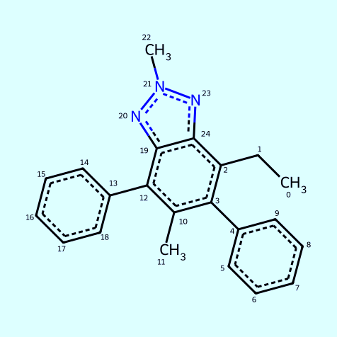 CCc1c(-c2ccccc2)c(C)c(-c2ccccc2)c2nn(C)nc12